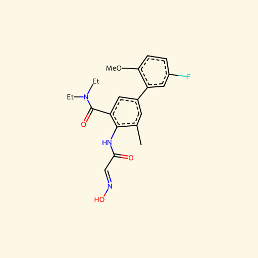 CCN(CC)C(=O)c1cc(-c2cc(F)ccc2OC)cc(C)c1NC(=O)C=NO